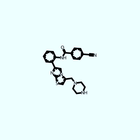 N#Cc1ccc(C(=O)Nc2ccccc2-c2cn3c(CN4CCNCC4)csc3n2)cc1